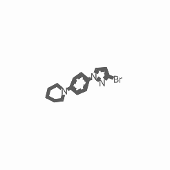 Brc1ccn(-c2ccc(N3CCCCC3)cc2)n1